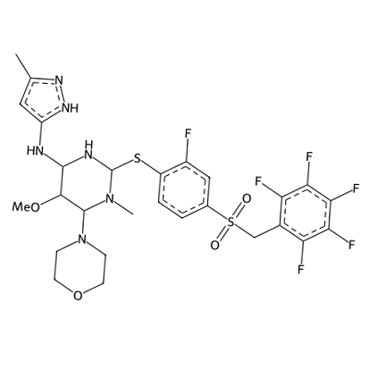 COC1C(Nc2cc(C)n[nH]2)NC(Sc2ccc(S(=O)(=O)Cc3c(F)c(F)c(F)c(F)c3F)cc2F)N(C)C1N1CCOCC1